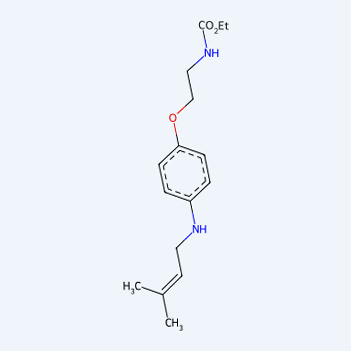 CCOC(=O)NCCOc1ccc(NCC=C(C)C)cc1